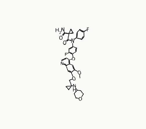 COc1cc2c(Oc3ccc(N(C(=O)C4(C(N)=O)CC4)c4ccc(F)cc4)cc3F)ccnc2cc1OCC1(NC2CCOCC2)CC1